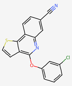 N#Cc1ccc2c(c1)nc(Oc1cccc(Cl)c1)c1ccsc12